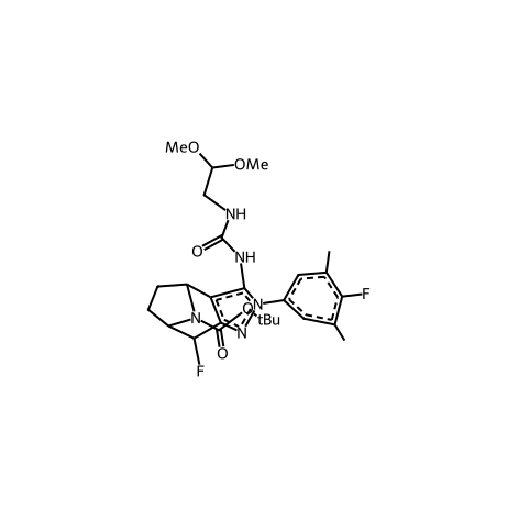 COC(CNC(=O)Nc1c2c(nn1-c1cc(C)c(F)c(C)c1)C(F)C1CCC2N1C(=O)OC(C)(C)C)OC